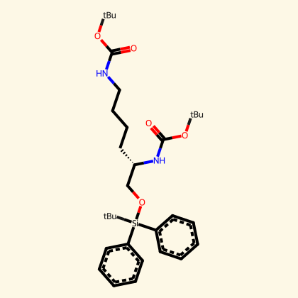 CC(C)(C)OC(=O)NCCCC[C@@H](CO[Si](c1ccccc1)(c1ccccc1)C(C)(C)C)NC(=O)OC(C)(C)C